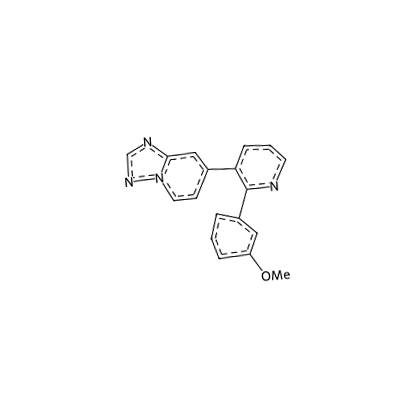 COc1cccc(-c2ncccc2-c2ccn3ncnc3c2)c1